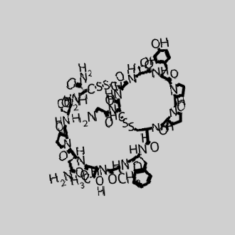 C[C@@H]1NC(=O)[C@H](Cc2ccccc2)NC(=O)[C@@H]2CSSC[C@H](NC(=O)CN)C(=O)N[C@@H](CSSC[C@@H](C(N)=O)NC(=O)[C@H](CC(=O)O)NC(=O)[C@@H]3CCCN3C(=O)[C@H](CC(N)=O)NC(=O)[C@H]([C@@H](C)O)NC1=O)C(=O)N[C@@H](CO)C(=O)N[C@@H](Cc1ccc(O)cc1)C(=O)N1CCC[C@H]1C(=O)N1CCC[C@H]1C(=O)N2